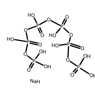 O=P(O)(O)OP(=O)(O)OP(=O)(O)OP(=O)(O)OP(=O)(O)OP(=O)(O)O.[NaH]